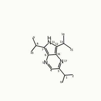 CC(C)c1cnc2c(C(C)C)[nH]c(C(C)C)c2n1